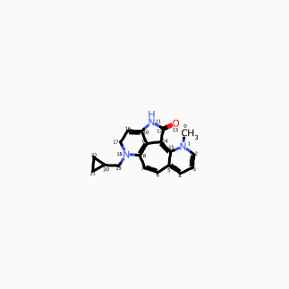 CN1C=CC=c2ccc3c4c([nH]c(=O)c-4c21)=CCN3CC1CC1